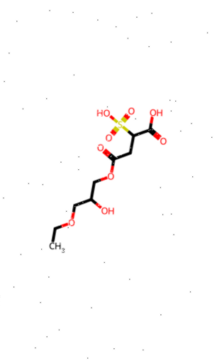 CCOCC(O)COC(=O)CC(C(=O)O)S(=O)(=O)O